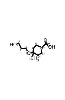 CC1(OCCCO)CCN(C(=O)O)CC1